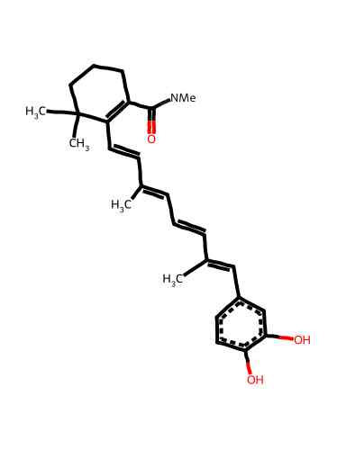 CNC(=O)C1=C(/C=C/C(C)=C/C=C/C(C)=C/c2ccc(O)c(O)c2)C(C)(C)CCC1